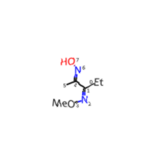 CCC(=NOC)C(C)=NO